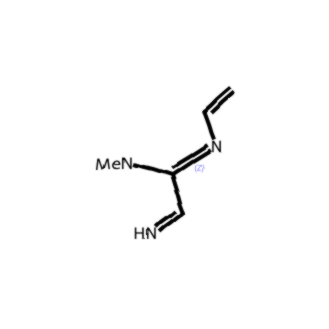 C=C/N=C(/C=N)NC